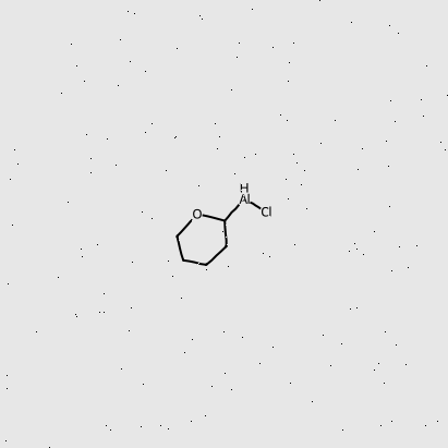 [Cl][AlH][CH]1CCCCO1